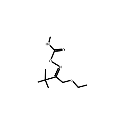 CCSCC(=NOC(=O)NC)C(C)(C)C